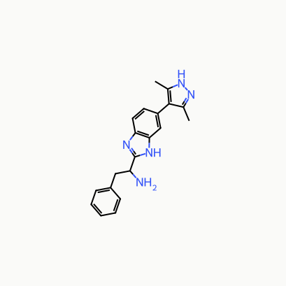 Cc1n[nH]c(C)c1-c1ccc2nc(C(N)Cc3ccccc3)[nH]c2c1